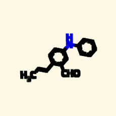 CC=Cc1ccc(Nc2ccccc2)cc1C=O